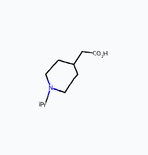 CC(C)N1CCC(CC(=O)O)CC1